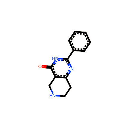 O=c1[nH]c(-c2ccccc2)nc2c1CNCC2